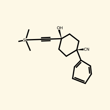 C[Si](C)(C)C#C[C@]1(O)CC[C@](C#N)(c2ccccc2)CC1